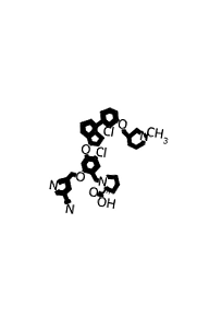 CN1CCCC(COc2cccc(-c3cccc4c3CCC4Oc3cc(OCc4cncc(C#N)c4)c(CN4CCCC[C@H]4C(=O)O)cc3Cl)c2Cl)C1